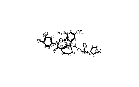 Cc1cc(C(F)(F)F)cc([C@@]2(COC(=O)NC3CCNC3)C=C(C(=O)N(C)c3ccc(F)c(Cl)c3)C=CC2)n1